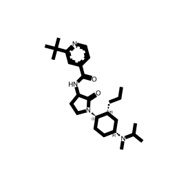 CCC[C@@H]1C[C@H](N(C)C(C)C)CC[C@@H]1N1CCC(NC(=O)c2ccnc(C(C)(C)C)c2)C1=O